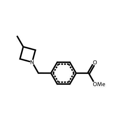 COC(=O)c1ccc(CN2CC(C)C2)cc1